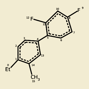 CCc1ccc(-c2ccc(F)cc2F)cc1C